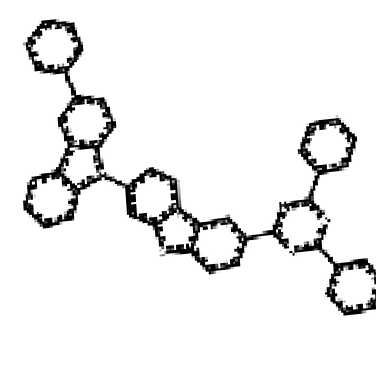 c1ccc(-c2ccc3c(c2)c2ccccc2n3-c2ccc3c(c2)sc2ccc(-c4nc(-c5ccccc5)nc(-c5ccccc5)n4)cc23)cc1